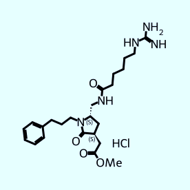 COC(=O)C[C@@H]1C[C@@H](CNC(=O)CCCCCNC(=N)N)N(CCCc2ccccc2)C1=O.Cl